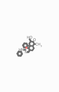 CC1C(=O)C(=CO)CC2(c3ccccc3)c3nc(Nc4ccccc4)ncc3CCC12